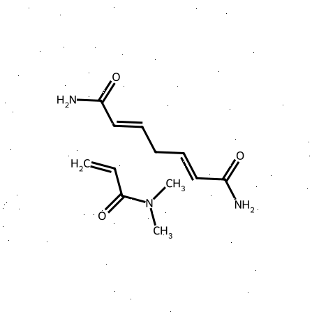 C=CC(=O)N(C)C.NC(=O)C=CCC=CC(N)=O